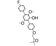 COc1cc(-c2ccc(F)cc2)c(OC)c(O)c1-c1ccc(OCC2OC2(C)C)cc1